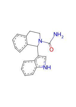 NC(=O)N1CCc2ccccc2C1c1c[nH]c2ccccc12